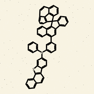 c1ccc(N(c2cccc(-c3cc4c(c5ccccc35)C3(c5ccccc5-4)c4cccc5ccc6cccc3c6c45)c2)c2ccc3c(c2)sc2c4ccccc4ccc32)cc1